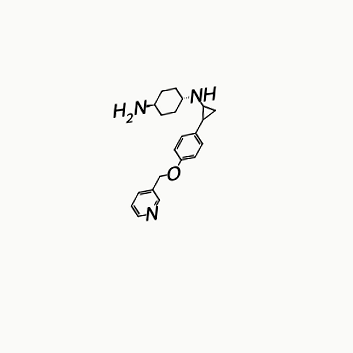 N[C@H]1CC[C@H](NC2CC2c2ccc(OCc3cccnc3)cc2)CC1